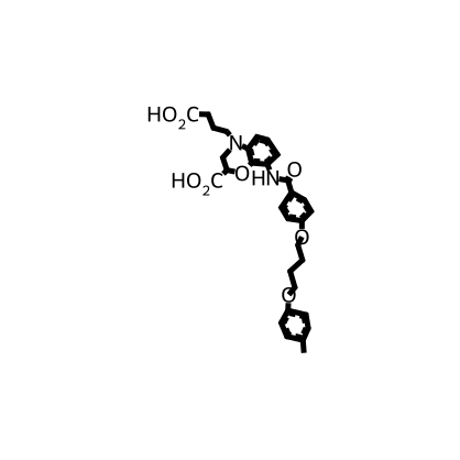 Cc1ccc(OCCCCOc2ccc(C(=O)Nc3cccc4c3OC(C(=O)O)CN4CCCC(=O)O)cc2)cc1